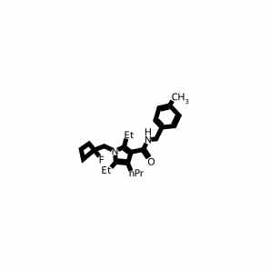 CCCc1c(C(=O)NCc2ccc(C)cc2)c(CC)n(CC2(F)CCC2)c1CC